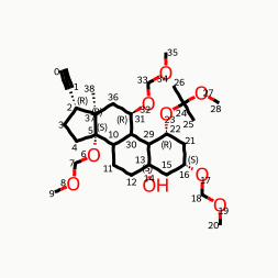 C#C[C@H]1CC[C@]2(OCOC)C3CC[C@]4(O)C[C@@H](OCOC)C[C@@H](OC(C)(C)OC)C4C3[C@H](OCOC)C[C@]12C